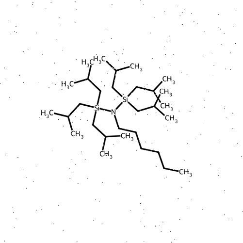 CCCCCCN([Si](CC(C)C)(CC(C)C)CC(C)C)[Si](CC(C)C)(CC(C)C)CC(C)C